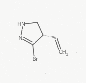 C=C[C@H]1CNN=C1Br